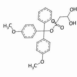 COc1ccc(C(OS(=O)(=O)CC(O)O)(c2ccccc2)c2ccc(OC)cc2)cc1